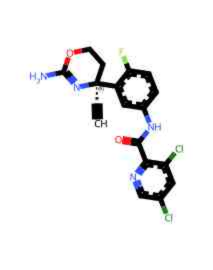 C#C[C@@]1(c2cc(NC(=O)c3ncc(Cl)cc3Cl)ccc2F)CCOC(N)=N1